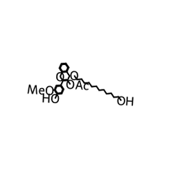 COc1cc(C2=C(OC(C)=O)C(OCCCCCCCCCCCCO)c3ccccc3O2)ccc1O